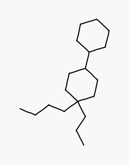 CCCCC1(CCC)CCC(C2CCCCC2)CC1